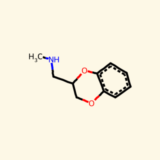 CNCC1COc2ccccc2O1